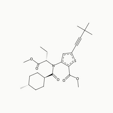 CC[C@@H](C(=O)OC)N(c1cc(C#CC(C)(C)C)sc1C(=O)OC)C(=O)[C@H]1CC[C@H](C)CC1